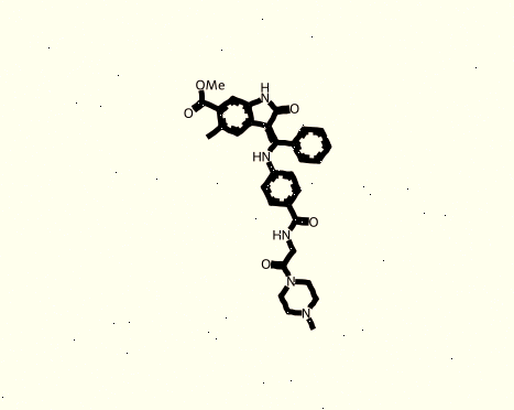 COC(=O)c1cc2c(cc1C)C(=C(Nc1ccc(C(=O)NCC(=O)N3CCN(C)CC3)cc1)c1ccccc1)C(=O)N2